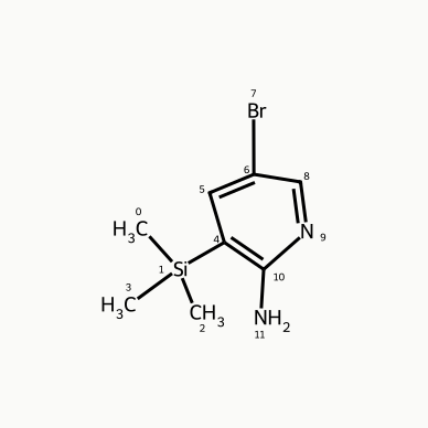 C[Si](C)(C)c1cc(Br)cnc1N